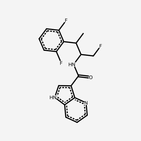 CC(c1c(F)cccc1F)C(CF)NC(=O)c1c[nH]c2cccnc12